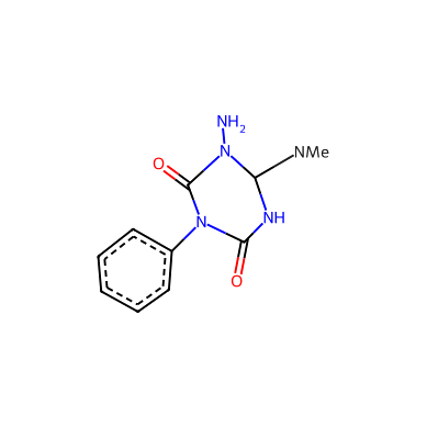 CNC1NC(=O)N(c2ccccc2)C(=O)N1N